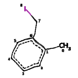 Cc1ccccc1CI